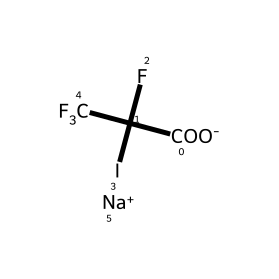 O=C([O-])C(F)(I)C(F)(F)F.[Na+]